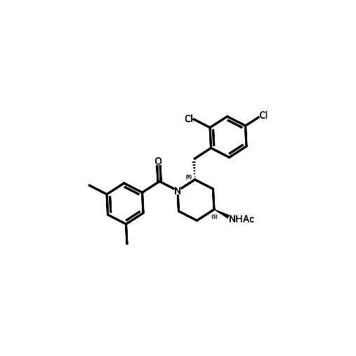 CC(=O)N[C@H]1CCN(C(=O)c2cc(C)cc(C)c2)[C@H](Cc2ccc(Cl)cc2Cl)C1